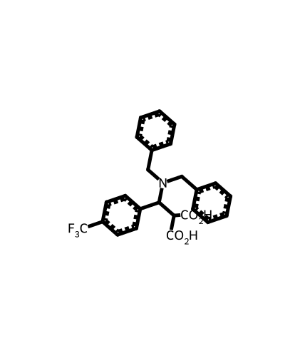 O=C(O)C(C(=O)O)C(c1ccc(C(F)(F)F)cc1)N(Cc1ccccc1)Cc1ccccc1